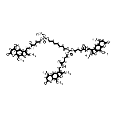 CCCOP(=O)(OCCCCCCCOP(=O)(OCCCC(=O)NCc1c(C)oc2c(C)c3oc(=O)cc(C)c3cc12)OCCCC(=O)NCc1c(C)oc2c(C)c3oc(=O)cc(C)c3cc12)OCCCC(=O)NCc1c(C)oc2c(C)c3oc(=O)cc(C)c3cc12